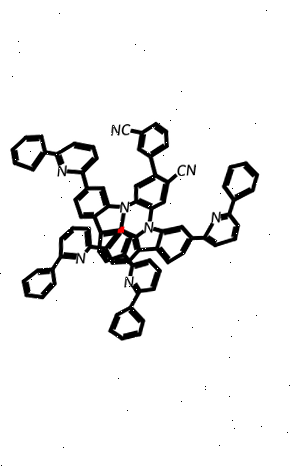 N#Cc1cccc(-c2cc(-n3c4cc(-c5cccc(-c6ccccc6)n5)ccc4c4ccc(-c5cccc(-c6ccccc6)n5)cc43)c(-n3c4cc(-c5cccc(-c6ccccc6)n5)ccc4c4ccc(-c5cccc(-c6ccccc6)n5)cc43)cc2C#N)c1